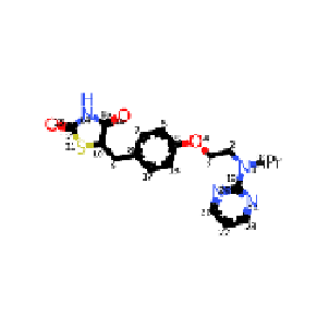 CC(C)N(CCOc1ccc(CC2SC(=O)NC2=O)cc1)c1ncccn1